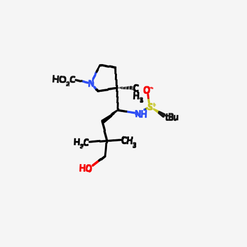 CC(C)(CO)C[C@H](N[S@@+]([O-])C(C)(C)C)[C@]1(C)CCN(C(=O)O)C1